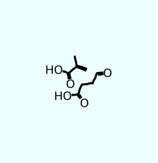 C=C(C)C(=O)O.O=CCCC(=O)O